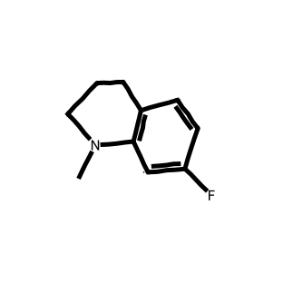 CN1CCCc2ccc(F)[c]c21